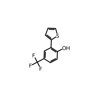 Oc1ccc(C(F)(F)F)cc1-c1cccs1